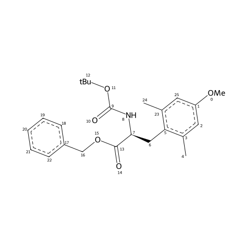 COc1cc(C)c(C[C@H](NC(=O)OC(C)(C)C)C(=O)OCc2ccccc2)c(C)c1